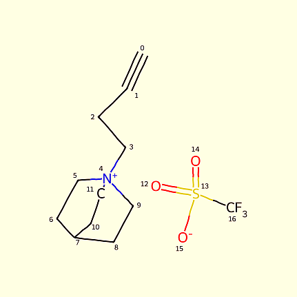 C#CCC[N+]12CCC(CC1)CC2.O=S(=O)([O-])C(F)(F)F